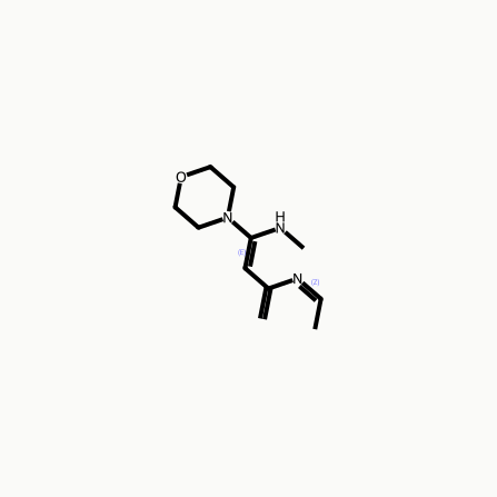 C=C(/C=C(\NC)N1CCOCC1)/N=C\C